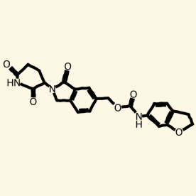 O=C1CCC(N2Cc3ccc(COC(=O)Nc4ccc5c(c4)OCC5)cc3C2=O)C(=O)N1